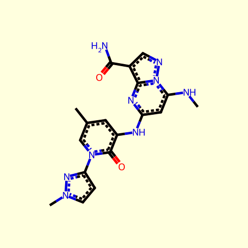 CNc1cc(Nc2cc(C)cn(-c3ccn(C)n3)c2=O)nc2c(C(N)=O)cnn12